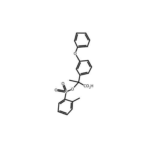 Cc1ccccc1S(=O)(=O)OC(C)(C(=O)O)c1cccc(Oc2ccccc2)c1